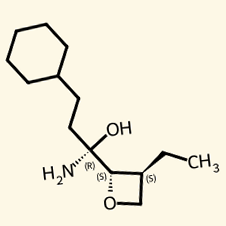 CC[C@H]1CO[C@@H]1[C@](N)(O)CCC1CCCCC1